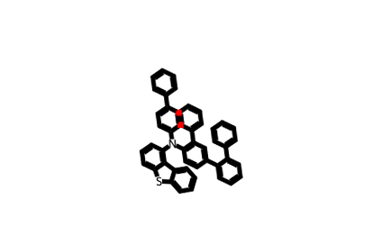 c1ccc(-c2ccc(N(c3ccc(-c4ccccc4-c4ccccc4)cc3-c3ccccc3)c3cccc4sc5ccccc5c34)cc2)cc1